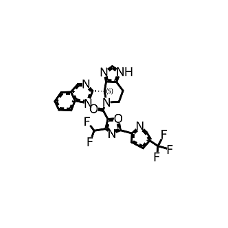 O=C(c1oc(-c2ccc(C(F)(F)F)cn2)nc1C(F)F)N1CCc2[nH]cnc2[C@H]1c1ncc2ccccc2n1